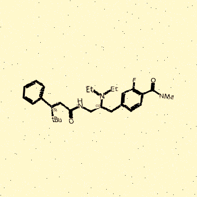 CCN(CC)[C@H](CNC(=O)C[C@H](c1ccccc1)C(C)(C)C)Cc1ccc(C(=O)NC)c(F)c1